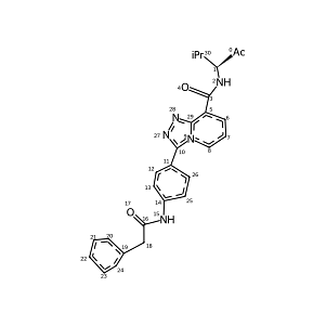 CC(=O)[C@@H](NC(=O)c1cccn2c(-c3ccc(NC(=O)Cc4ccccc4)cc3)nnc12)C(C)C